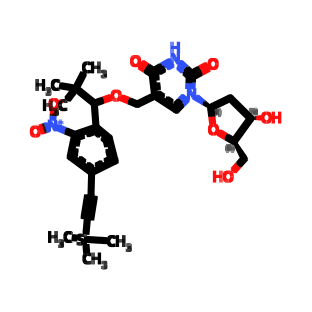 CC(C)(C)C(OCc1cn([C@H]2C[C@H](O)[C@@H](CO)O2)c(=O)[nH]c1=O)c1ccc(C#C[Si](C)(C)C)cc1[N+](=O)[O-]